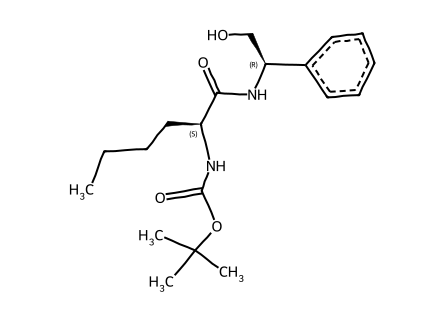 CCCC[C@H](NC(=O)OC(C)(C)C)C(=O)N[C@@H](CO)c1ccccc1